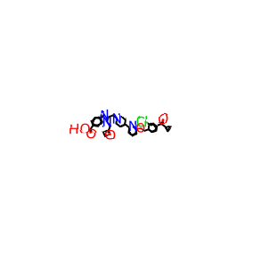 O=C(O)c1ccc2nc(CN3CCC(c4cccc(OCc5ccc(C(=O)C6CC6)cc5Cl)n4)CC3)n(CC3CCO3)c2c1